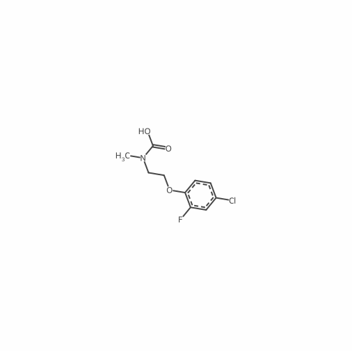 CN(CCOc1ccc(Cl)cc1F)C(=O)O